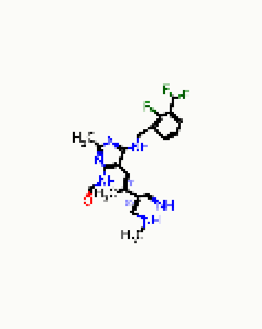 CN/C=C(C=N)/C(C)=C/c1c(NC=O)nc(C)nc1NCc1cccc(C(F)F)c1F